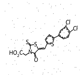 O=C(O)CN1C(=O)C(=Cc2ccc(-c3ccc(Cl)c(Cl)c3)s2)SC1=S